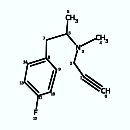 C#CCN(C)C(C)Cc1ccc(F)cc1